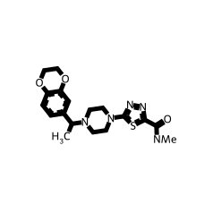 CNC(=O)c1nnc(N2CCN(C(C)c3ccc4c(c3)OCCO4)CC2)s1